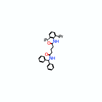 CC(C)c1cccc(C(C)C)c1NC(=O)CCCC(=O)NC(c1ccccc1)c1ccccc1